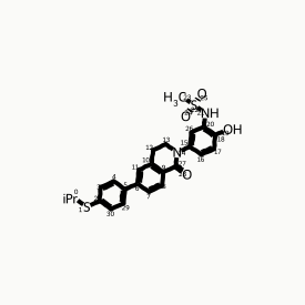 CC(C)Sc1ccc(-c2ccc3c(c2)CCN(c2ccc(O)c(NS(C)(=O)=O)c2)C3=O)cc1